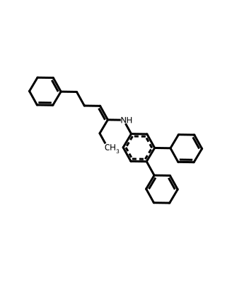 CC/C(=C\CCC1=CCCC=C1)Nc1ccc(C2=CCCC=C2)c(C2C=CC=CC2)c1